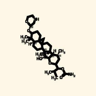 CC(C)C(OC(N)=O)C1C[C@@H](C)[C@H]2C(O1)[C@H](O)[C@@]1(C)C3CC[C@H]4C(C)(C)C(O[C@H]5CNCCO5)CCC45CC35CCC21C